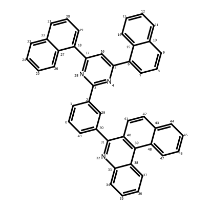 c1cc(-c2nc(-c3cccc4ccccc34)cc(-c3cccc4ccccc34)n2)cc(-c2nc3ccccc3c3c2ccc2ccccc23)c1